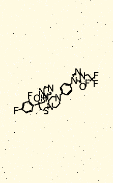 C[C@@H](SN1CCN(c2ccc(-n3cnn(CC(F)(F)F)c3=O)cc2)CC1)[C@](O)(Cn1cncn1)c1ccc(F)cc1F